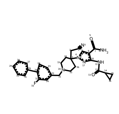 N#CCC1(n2cc(C(N)=O)c(NC(=O)C3CC3)n2)CCN(Cc2ccc(-c3ccccc3)c(F)c2)CC1